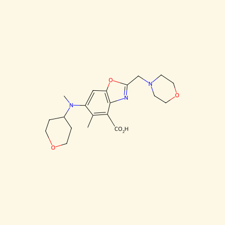 Cc1c(N(C)C2CCOCC2)cc2oc(CN3CCOCC3)nc2c1C(=O)O